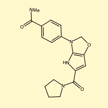 CNC(=O)c1ccc(N2COc3cc(C(=O)N4CCCC4)[nH]c32)cc1